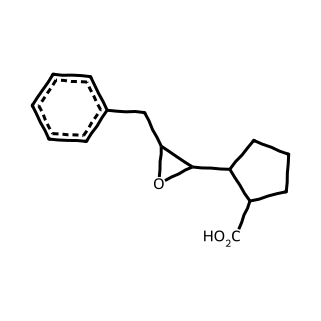 O=C(O)C1CCCC1C1OC1Cc1ccccc1